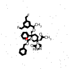 CC(=O)C[C@]1(n2cn[nH]c2=O)CC[C@@](CO[C@H](C)c2cc(CF)cc(CF)c2)(c2ccccc2)N(C(=O)OCc2ccccc2)C1